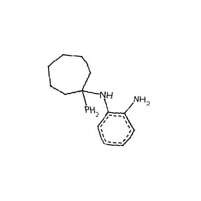 Nc1ccccc1NC1(P)CCCCCC1